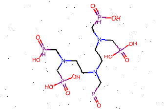 O=PCN(CCN(C[PH](=O)O)CP(=O)(O)O)CCN(C[PH](=O)O)CP(=O)(O)O